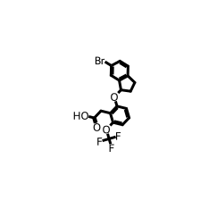 O=C(O)Cc1c(OC2CCc3ccc(Br)cc32)cccc1OC(F)(F)F